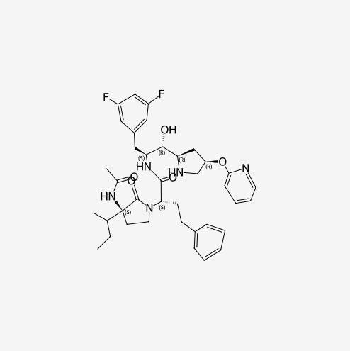 CCC(C)[C@@]1(NC(C)=O)CCN([C@@H](CCc2ccccc2)C(=O)N[C@@H](Cc2cc(F)cc(F)c2)[C@H](O)[C@H]2C[C@@H](Oc3ccccn3)CN2)C1=O